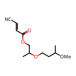 COC(C)CCOC(C)COC(=O)C=CC#N